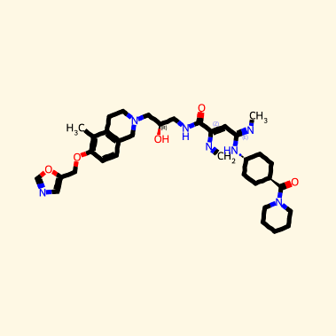 C=N/C(=C\C(=N/C)N[C@H]1CC[C@H](C(=O)N2CCCCC2)CC1)C(=O)NC[C@@H](O)CN1CCc2c(ccc(OCc3cnco3)c2C)C1